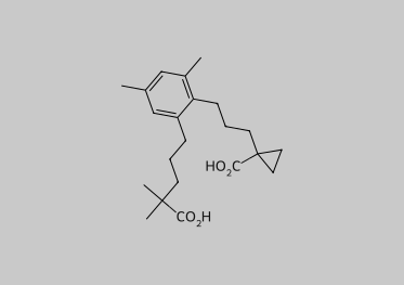 Cc1cc(C)c(CCCC2(C(=O)O)CC2)c(CCCC(C)(C)C(=O)O)c1